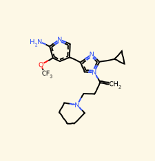 C=C(CCN1CCCCC1)n1cc(-c2cnc(N)c(OC(F)(F)F)c2)nc1C1CC1